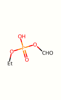 CCOP(=O)(O)OC=O